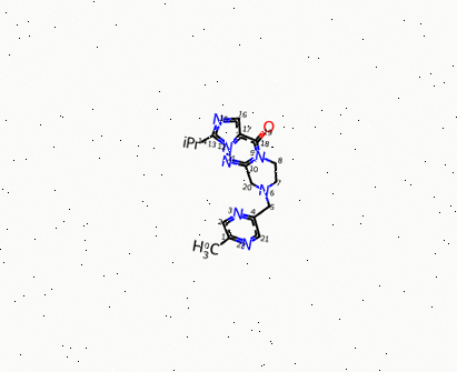 Cc1cnc(CN2CCn3c(nn4c(C(C)C)ncc4c3=O)C2)cn1